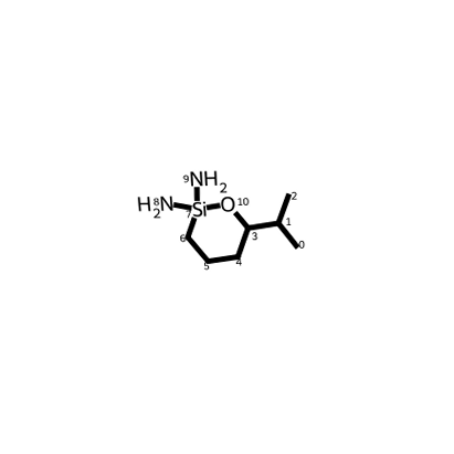 CC(C)C1CCC[Si](N)(N)O1